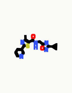 Cc1nc(-c2cccnc2)sc1C(=O)NCc1nc(C2CC2)no1